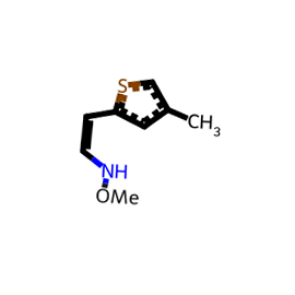 CON/C=C\c1cc(C)cs1